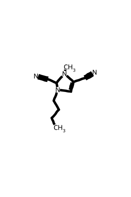 CCCCN1C=C(C#N)N(C)C1C#N